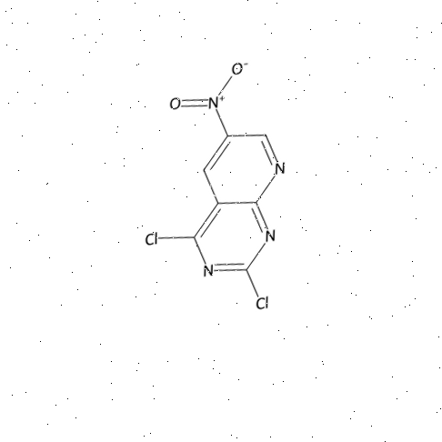 O=[N+]([O-])c1cnc2nc(Cl)nc(Cl)c2c1